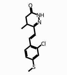 CSc1ccc(C=CC2=NNC(=O)CC2C)c(Cl)c1